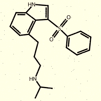 CC(C)NCCCc1cccc2[nH]cc(S(=O)(=O)c3ccccc3)c12